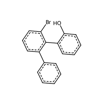 Oc1ccccc1-c1c(Br)cccc1-c1ccccc1